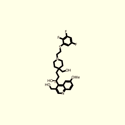 COc1ccc2ncc(CO)c([C@@H](O)CCC3(CO)CCN(CCSc4cc(F)cc(F)c4F)CC3)c2c1